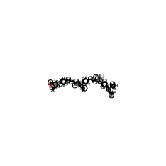 OC(COc1ccc(N(CC(O)CCOc2ccc(N(CC3CO3)CC3CO3)cc2)CC2CO2)cc1)COc1ccc(N(CC2CO2)C2CCO2)cc1